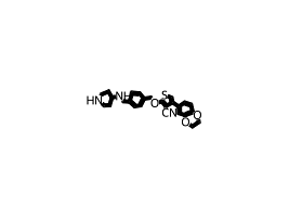 N#Cc1c(-c2ccc3c(c2)OCCO3)csc1OCc1ccc(CNC2CCNCC2)cc1